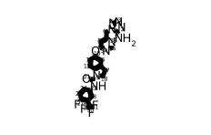 Nc1nnnn1Cc1cc(Oc2ccc3c(c2)CCN3C(=O)Nc2ccc(F)c(C(F)(F)F)c2)ncn1